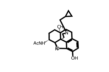 CC(=O)N[C@@H]1CC[C@@]2(C)C3Cc4ccc(O)c5c4[C@@]2(CCN3CC2CC2)[C@H]1O5